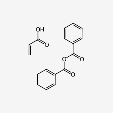 C=CC(=O)O.O=C(OC(=O)c1ccccc1)c1ccccc1